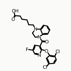 O=C(O)CCCCCN1CCN(C(=O)c2cc(F)cnc2Oc2cc(Cl)ccc2Cl)c2ccccc21